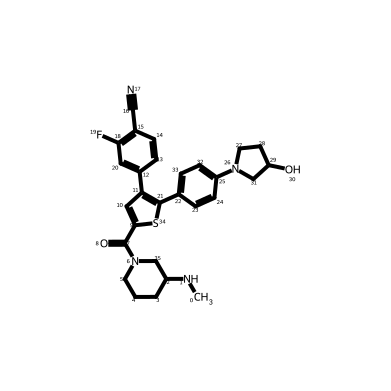 CNC1CCCN(C(=O)c2cc(-c3ccc(C#N)c(F)c3)c(-c3ccc(N4CCC(O)C4)cc3)s2)C1